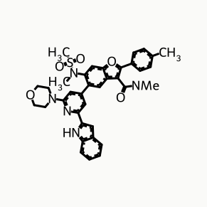 CNC(=O)c1c(-c2ccc(C)cc2)oc2cc(N(C)S(C)(=O)=O)c(-c3cc(-c4cc5ccccc5[nH]4)nc(N4CCOCC4)c3)cc12